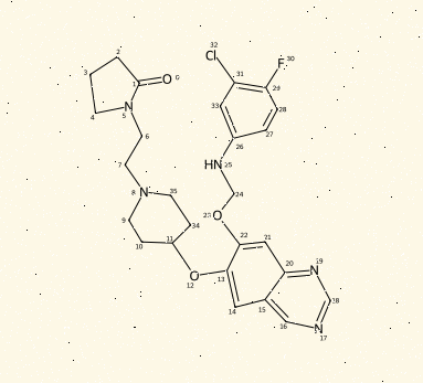 O=C1CCCN1CCN1CCC(Oc2cc3cncnc3cc2OCNc2ccc(F)c(Cl)c2)CC1